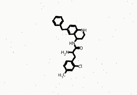 Cc1ccc(CC(N)C(=O)NC2CCNc3ccc(Cc4ccccc4)cc32)c(Cl)c1